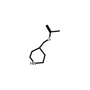 C=C(C)SCC1CCNCC1